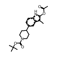 CC(=O)Oc1[nH]c2ccc(C3CCN(C(=O)OC(C)(C)C)CC3)cc2c1C